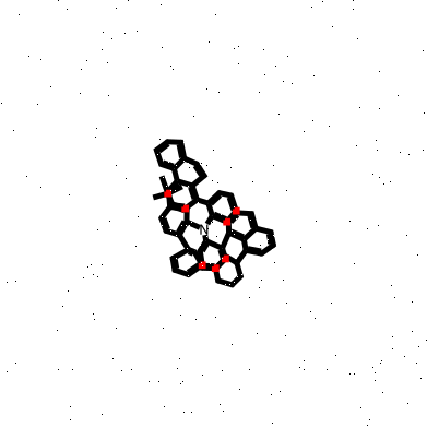 CC(C)(C)c1ccc(-c2ccccc2)c(N(c2ccccc2-c2cccc3c2ccc2ccccc23)c2ccccc2-c2cccc3cccc(C4CCCCC4)c23)c1